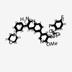 COc1ncc(-c2ccc3nc(N)c(-c4cccc(N5CCOCC5)c4)cc3c2)cc1NS(=O)(=O)c1ccc(F)cc1F